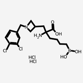 Cl.Cl.NC(CCCCB(O)O)(CC1CN(Cc2ccc(Cl)c(Cl)c2)C1)C(=O)O